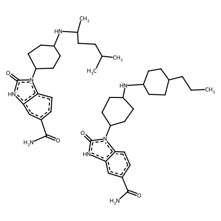 CC(C)CCC(C)NC1CCC(n2c(=O)[nH]c3cc(C(N)=O)ccc32)CC1.CCCC1CCC(NC2CCC(n3c(=O)[nH]c4cc(C(N)=O)ccc43)CC2)CC1